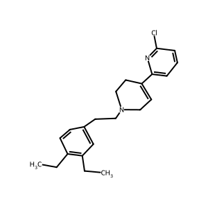 CCc1ccc(CCN2CC=C(c3cccc(Cl)n3)CC2)cc1CC